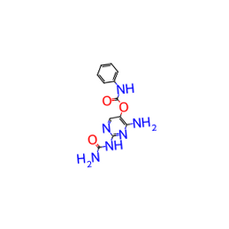 NC(=O)Nc1ncc(OC(=O)Nc2ccccc2)c(N)n1